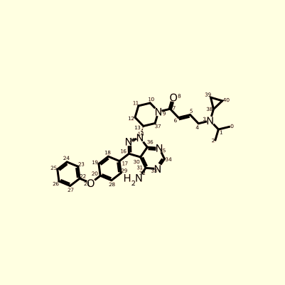 CC(C)N(CC=CC(=O)N1CCC[C@@H](n2nc(-c3ccc(Oc4ccccc4)cc3)c3c(N)ncnc32)C1)C1CC1